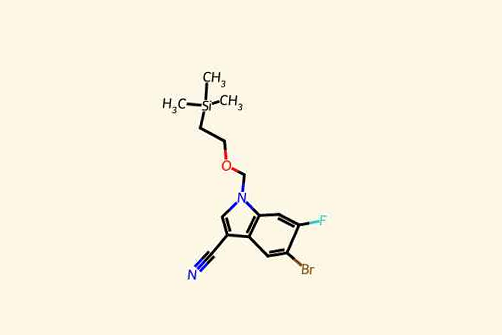 C[Si](C)(C)CCOCn1cc(C#N)c2cc(Br)c(F)cc21